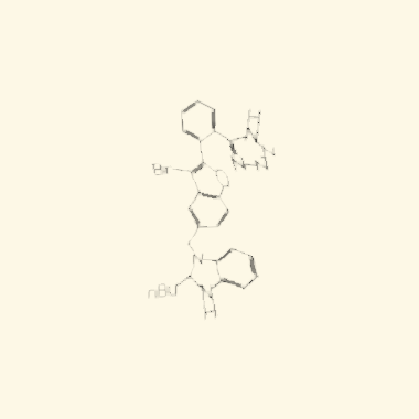 CCCCC1Nc2ccccc2N1Cc1ccc2oc(-c3ccccc3-c3nnn[nH]3)c(Br)c2c1